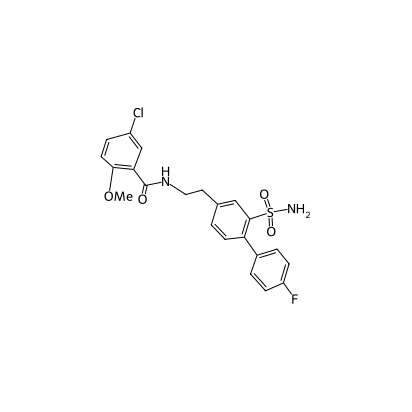 COc1ccc(Cl)cc1C(=O)NCCc1ccc(-c2ccc(F)cc2)c(S(N)(=O)=O)c1